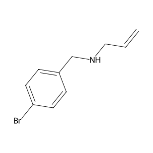 C=CCNCc1ccc(Br)cc1